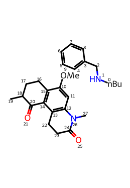 CCCCNCc1ccccc1.COc1cc2c(c3c1CCC(C)C3=O)CCC(=O)N2C